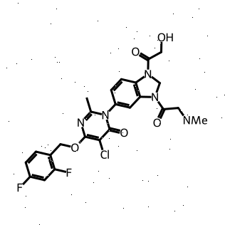 CNCC(=O)N1CN(C(=O)CO)c2ccc(-n3c(C)nc(OCc4ccc(F)cc4F)c(Cl)c3=O)cc21